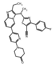 CCc1nc2ccc(-c3ccc(N4CCC(=O)CC4)nc3)cn2c1N(C)c1nc(-c2ccc(F)cc2)c(C#N)s1